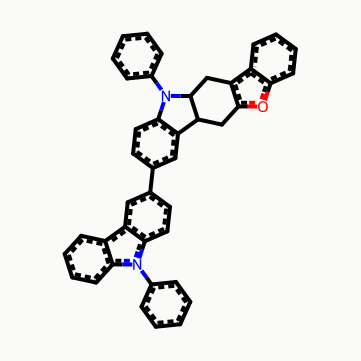 c1ccc(N2c3ccc(-c4ccc5c(c4)c4ccccc4n5-c4ccccc4)cc3C3Cc4oc5ccccc5c4CC32)cc1